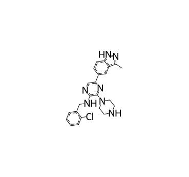 Cc1n[nH]c2ccc(-c3cnc(NCc4ccccc4Cl)c(N4CCNCC4)n3)cc12